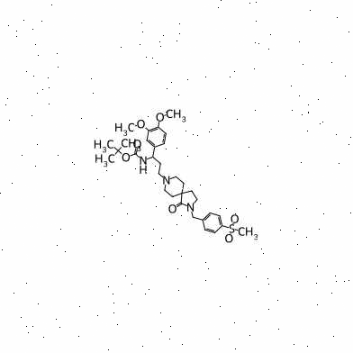 COc1ccc(C(CCN2CCC3(CC2)CCN(Cc2ccc(S(C)(=O)=O)cc2)C3=O)NC(=O)OC(C)(C)C)cc1OC